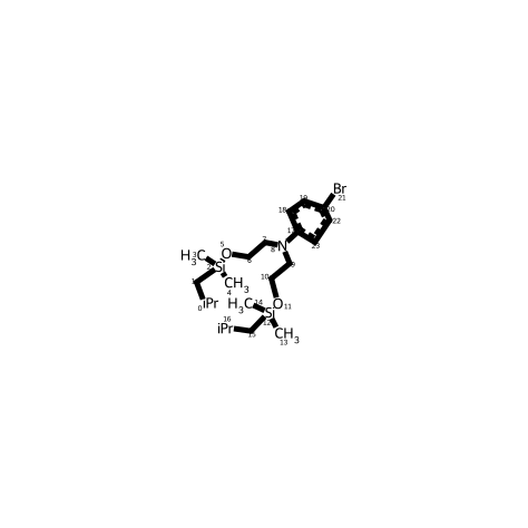 CC(C)C[Si](C)(C)OCCN(CCO[Si](C)(C)CC(C)C)c1ccc(Br)cc1